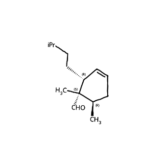 CC(C)CC[C@@H]1C=CC[C@@H](C)[C@]1(C)C=O